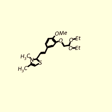 CCOC(COc1cc(C=CC2SC=C(C)N2C)ccc1OC)OCC